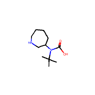 CC(C)(C)N(C(=O)O)C1CCCCNC1